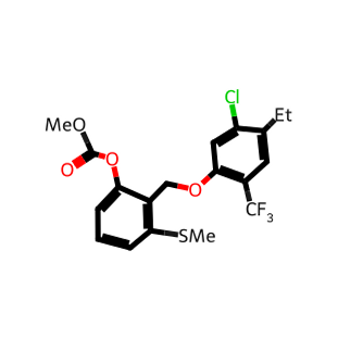 CCc1cc(C(F)(F)F)c(OCc2c(OC(=O)OC)cccc2SC)cc1Cl